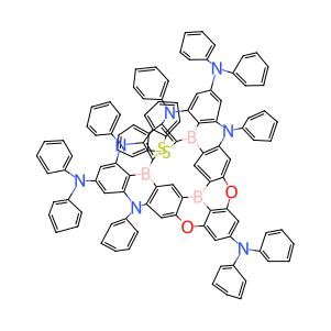 c1ccc(N(c2ccccc2)c2cc3c4c(c2)Oc2cc5c(cc2B4c2cc4c(cc2O3)N(c2ccccc2)c2cc(N(c3ccccc3)c3ccccc3)cc3c2B4c2sc4ccccc4c2N3c2ccccc2)B2c3sc4ccccc4c3N(c3ccccc3)c3cc(N(c4ccccc4)c4ccccc4)cc(c32)N5c2ccccc2)cc1